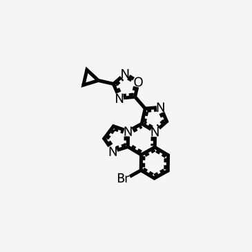 Brc1cccc2c1c1nccn1c1c(-c3nc(C4CC4)no3)ncn21